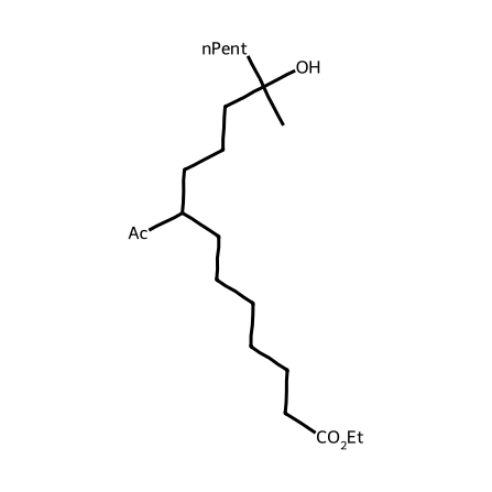 CCCCCC(C)(O)CCCC(CCCCCCC(=O)OCC)C(C)=O